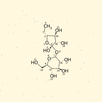 CC[C@H]1O[C@@](O)(OC2O[C@H](CO)[C@@H](O)[C@H](O)[C@H]2O)[C@@H](O)[C@@H]1O